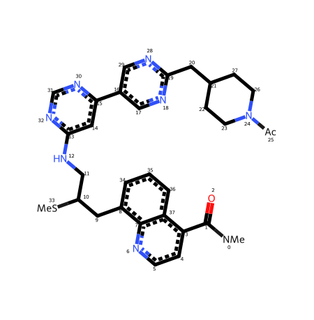 CNC(=O)c1ccnc2c(CC(CNc3cc(-c4cnc(CC5CCN(C(C)=O)CC5)nc4)ncn3)SC)cccc12